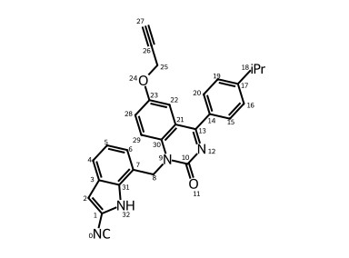 [C-]#[N+]c1cc2cccc(Cn3c(=O)nc(-c4ccc(C(C)C)cc4)c4cc(OCC#C)ccc43)c2[nH]1